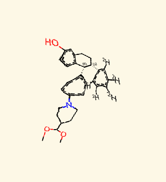 [2H]c1c([2H])c([2H])c([C@H]2CCc3cc(O)ccc3[C@H]2c2ccc(N3CCC(C(OC)OC)CC3)cc2)c([2H])c1[2H]